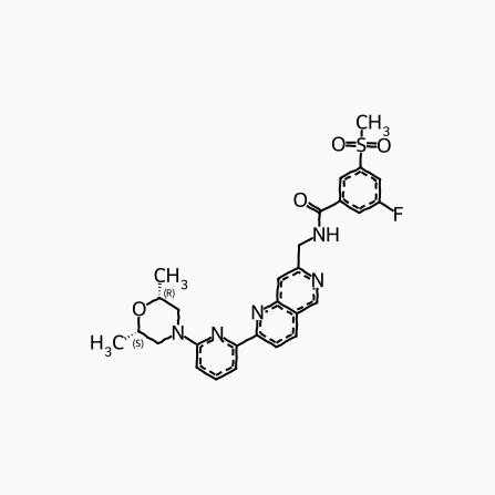 C[C@@H]1CN(c2cccc(-c3ccc4cnc(CNC(=O)c5cc(F)cc(S(C)(=O)=O)c5)cc4n3)n2)C[C@H](C)O1